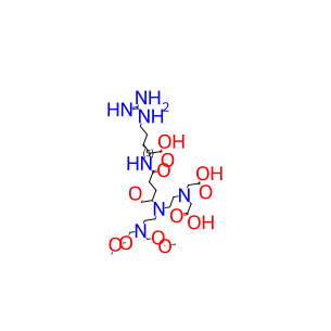 COOCN(CCN(CCN(CC(=O)O)CC(=O)O)C(C=O)CCC(=O)N[C@@H](CCCNC(=N)N)C(=O)O)COOC